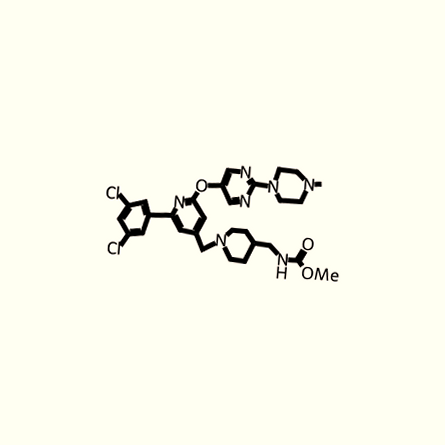 COC(=O)NCC1CCN(Cc2cc(Oc3cnc(N4CCN(C)CC4)nc3)nc(-c3cc(Cl)cc(Cl)c3)c2)CC1